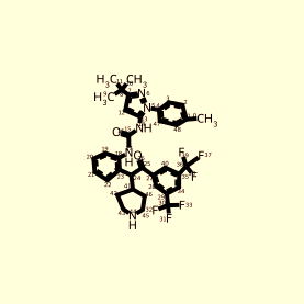 Cc1ccc(-n2nc(C(C)(C)C)cc2NC(=O)Nc2ccccc2C(C(=O)c2cc(C(F)(F)F)cc(C(F)(F)F)c2)C2CCNCC2)cc1